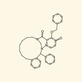 O=C1c2c(OCc3ccccc3)c(=O)ccn2N2CN1CCCCCCCc1ccccc1C2c1ccccc1